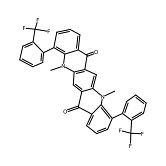 Cn1c2cc3c(=O)c4cccc(-c5ccccc5C(F)(F)F)c4n(C)c3cc2c(=O)c2cccc(-c3ccccc3C(F)(F)F)c21